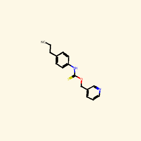 N#CCCc1ccc(NC(=S)OCc2cccnc2)cc1